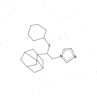 c1cn(CC(SC2CCCCC2)C23CC4CC(CC(C4)C2)C3)cn1